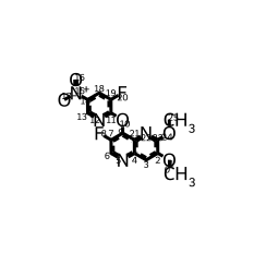 COc1cc2ncc(F)c(Oc3ncc([N+](=O)[O-])cc3F)c2nc1OC